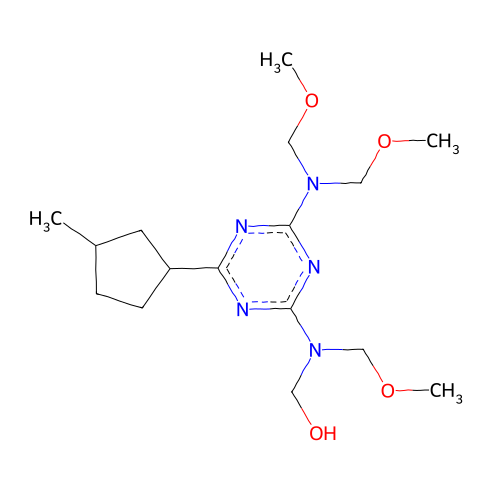 COCN(CO)c1nc(C2CCC(C)C2)nc(N(COC)COC)n1